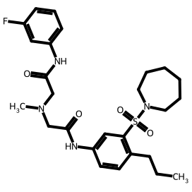 CCCc1ccc(NC(=O)CN(C)CC(=O)Nc2cccc(F)c2)cc1S(=O)(=O)N1CCCCCC1